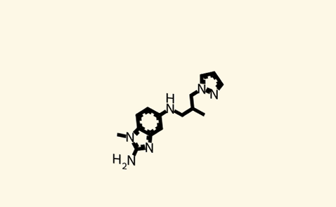 CC(CNc1ccc2c(c1)nc(N)n2C)Cn1cccn1